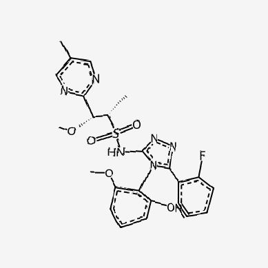 COc1cccc(O)c1-n1c(NS(=O)(=O)[C@@H](C)[C@H](OC)c2ncc(C)cn2)nnc1-c1c#cccc1F